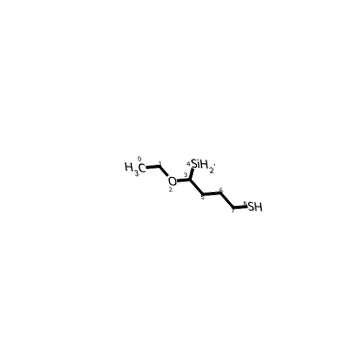 CCOC([SiH2])CCCS